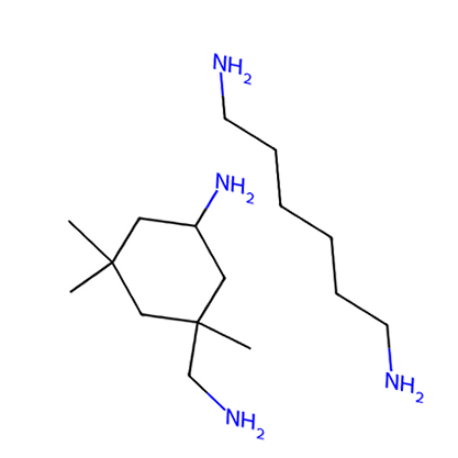 CC1(C)CC(N)CC(C)(CN)C1.NCCCCCCN